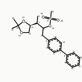 CC(C(Cc1ccc(-c2ccccc2)cc1)OS(C)(=O)=O)[C@H]1COC(C)(C)O1